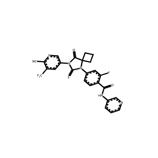 N#Cc1ncc(N2C(=O)C3(CCC3)N(c3ccc(C(=O)Nc4cccnc4)c(F)c3)C2=S)cc1C(F)(F)F